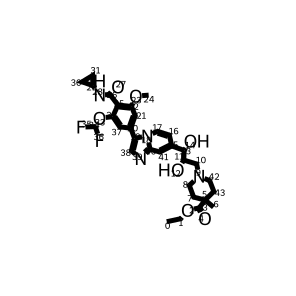 CCOC(=O)C1(C)CCN(CC(O)C(O)c2ccn3c(-c4cc(OC)c(C(=O)NC5CC5)c(OC(F)F)c4)cnc3c2)CC1